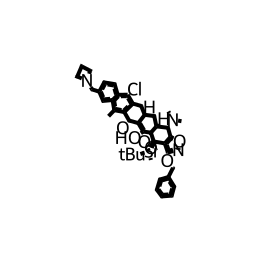 Cc1c2c(c(Cl)c3ccc(CN4CCC4)cc13)C[C@H]1C[C@H]3[C@H](N(C)C)c4onc(OCc5ccccc5)c4C(=O)[C@@]3(O[Si](C)(C)C(C)(C)C)C(O)=C1C2=O